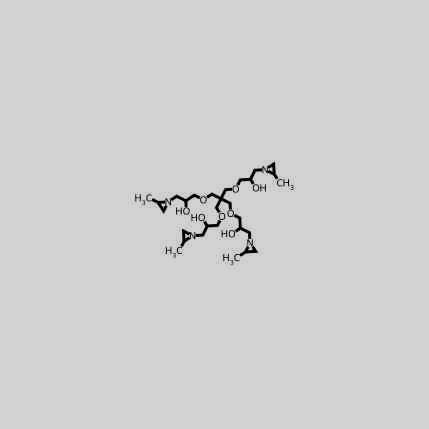 CC1CN1CC(O)COCC(COCC(O)CN1CC1C)(COCC(O)CN1CC1C)COCC(O)CN1CC1C